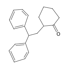 O=C1CCCCC1CC(c1ccccc1)c1ccccc1